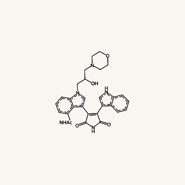 CC(=O)Nc1cccc2c1c(C1=C(c3c[nH]c4ccccc34)C(=O)NC1=O)cn2CC(O)CN1CCOCC1